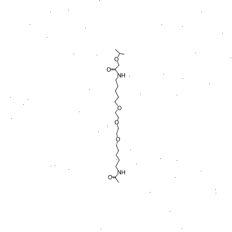 CC(=O)NCCCCCOCCOCCOCCCCCNC(=O)COC(C)C